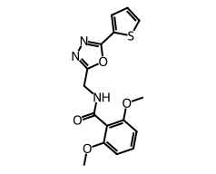 COc1cccc(OC)c1C(=O)NCc1nnc(-c2cccs2)o1